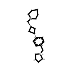 c1cc([C@H]2C[C@H](CN3CCCCC3)C2)ccc1CN1CCCC1